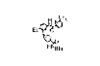 CCc1ccc(NC(=O)c2cccc(C(F)(F)F)n2)cc1CN1CCC(C(=O)NC(C)(C)C)CC1